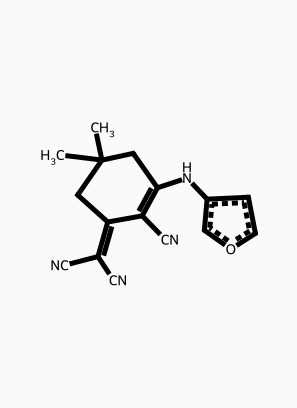 CC1(C)CC(Nc2ccoc2)=C(C#N)C(=C(C#N)C#N)C1